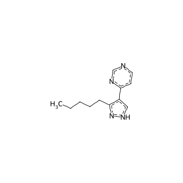 CCCCCc1n[nH]cc1-c1ccncn1